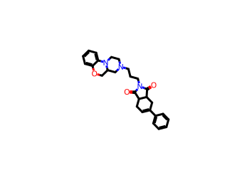 O=C1C2CC=C(c3ccccc3)CC2C(=O)N1CCCN1CCN2c3ccccc3OCC2C1